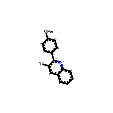 [2H]c1cc2ccccc2nc1-c1ccc(OC)cc1